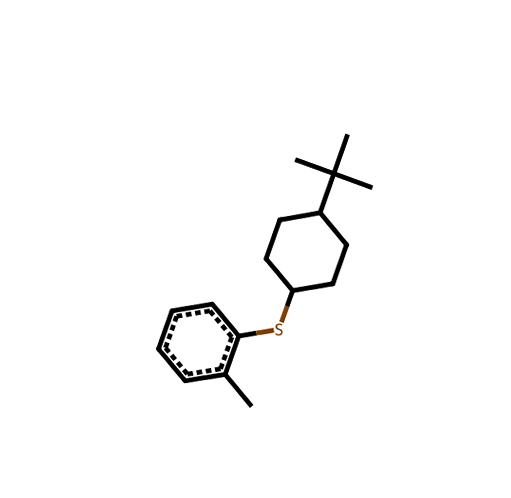 Cc1ccccc1SC1CCC(C(C)(C)C)CC1